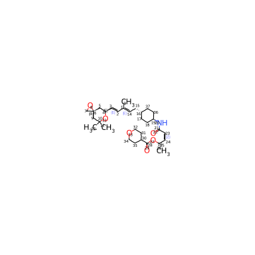 CC(/C=C/[C@@H]1C[C@]2(CO2)CC(C)(C)O1)=C\C[C@H]1CC[C@H](NC(=O)/C=C\[C@H](C)OC(=O)C2CCOCC2)CC1